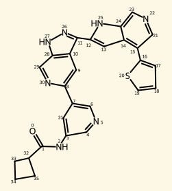 O=C(Nc1cncc(-c2cc3c(-c4cc5c(-c6cccs6)cncc5[nH]4)n[nH]c3cn2)c1)C1CCC1